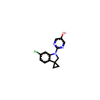 Oc1cnc(N2CC3(CC3)c3ccc(Br)cc32)nc1